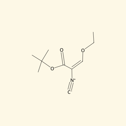 [C-]#[N+]/C(=C/OCC)C(=O)OC(C)(C)C